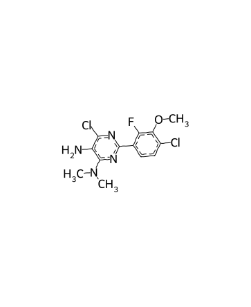 COc1c(Cl)ccc(-c2nc(Cl)c(N)c(N(C)C)n2)c1F